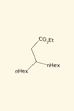 CCCCCCC(CCCCCC)CC(=O)OCC